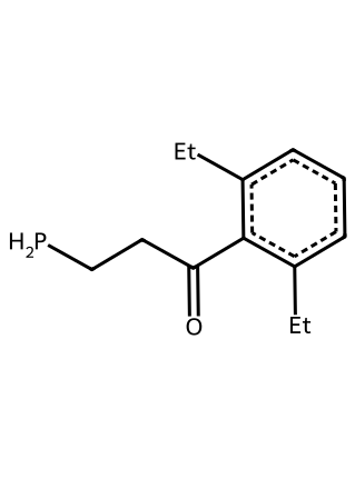 CCc1cccc(CC)c1C(=O)CCP